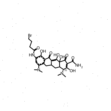 CN(C)c1cc(NC(=O)CCCBr)c(O)c2c1CC1CC3[C@H](N(C)C)C(O)=C(C(N)=O)C(=O)C3(O)C(O)=C1C2=O